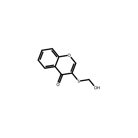 O=c1c(SCO)coc2ccccc12